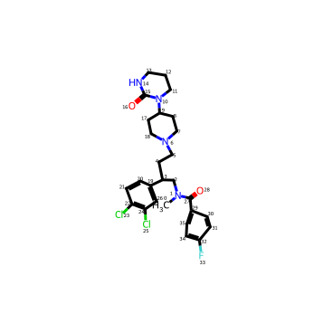 CN(CC(CCN1CCC(N2CCCNC2=O)CC1)c1ccc(Cl)c(Cl)c1)C(=O)c1ccc(F)cc1